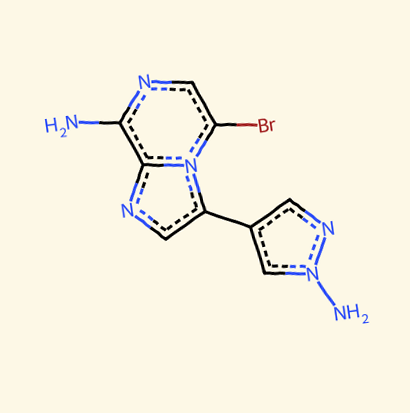 Nc1ncc(Br)n2c(-c3cnn(N)c3)cnc12